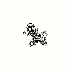 COc1ccc(Cl)cc1NC(=O)N[C@H](C(=O)N(CCC1CCCC1)CC(=O)NO)C(C)C